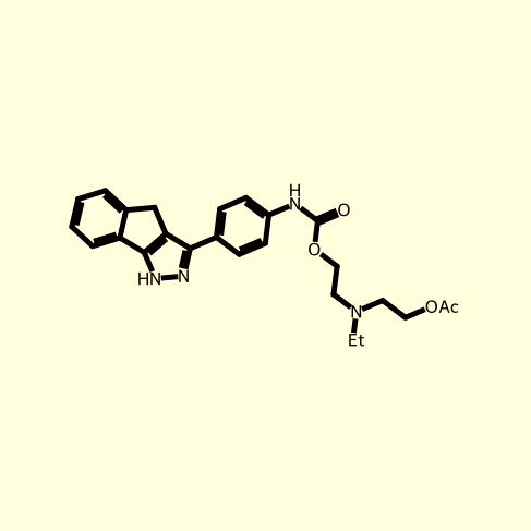 CCN(CCOC(C)=O)CCOC(=O)Nc1ccc(-c2n[nH]c3c2Cc2ccccc2-3)cc1